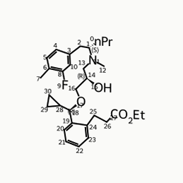 CCC[C@@H](Cc1ccc(C)c(F)c1)N(C)C[C@@H](O)CO[C@@H](c1ccccc1CCC(=O)OCC)C1CC1